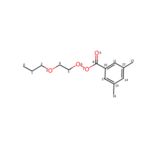 CCCOC[CH]OOC(=O)c1cc(C)cc(C)c1